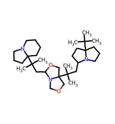 CC(C)(C)C12CCCN1C(CC(C)(C)C13COCN1C(CC(C)(C)C14CCCCN1CCC4)OC3)CC2